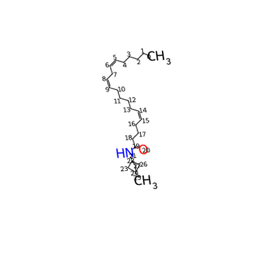 CCCCC/C=C\C/C=C\CCCC/C=C\CCCC(=O)NC12CC(C)(C1)C2